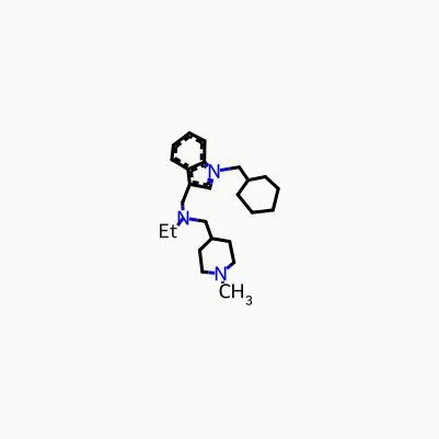 CCN(Cc1cn(CC2CCCCC2)c2ccccc12)CC1CCN(C)CC1